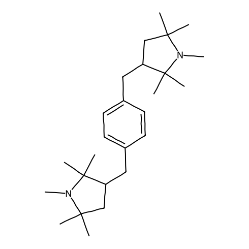 CN1C(C)(C)CC(Cc2ccc(CC3CC(C)(C)N(C)C3(C)C)cc2)C1(C)C